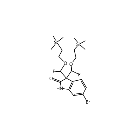 C[Si](C)(C)CCOC(F)C1(C(F)OCC[Si](C)(C)C)C(=O)Nc2cc(Br)ccc21